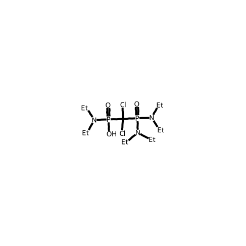 CCN(CC)P(=O)(O)C(Cl)(Cl)P(=O)(N(CC)CC)N(CC)CC